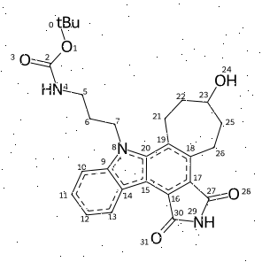 CC(C)(C)OC(=O)NCCCn1c2ccccc2c2c3c(c4c(c21)CCC(O)CC4)C(=O)NC3=O